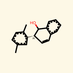 Cc1ccc(C)c([C@H]2C=Cc3ccccc3C2O)c1